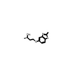 Cc1nc2cc(OCC[C@@H](C)O)ccc2s1